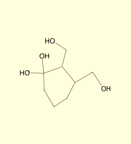 OCC1CCCC(O)(O)C1CO